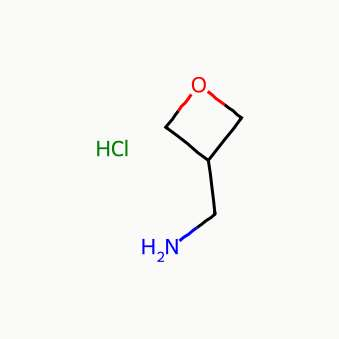 Cl.NCC1COC1